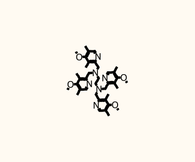 COc1c(C)cnc(CN(CCN(Cc2ncc(C)c(OC)c2C)Cc2ncc(C)c(OC)c2C)Cc2ncc(C)c(OC)c2C)c1C